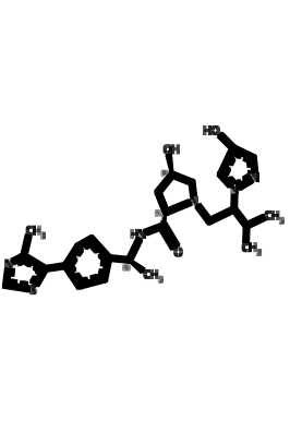 Cc1ncsc1-c1ccc([C@H](C)NC(=O)[C@@H]2C[C@@H](O)CN2CC(C(C)C)n2cc(O)cn2)cc1